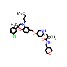 COCCCN1CC(C)(c2cccc(Cl)c2)Oc2ccc(CO[C@@H]3CC[C@@H](C[C@@H](C)C(=O)NCC4CCOCC4)NC3)cc21